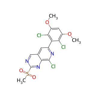 COc1cc(OC)c(Cl)c(-c2cc3cnc(S(C)(=O)=O)nc3c(Cl)n2)c1Cl